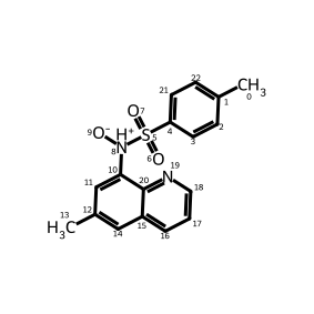 Cc1ccc(S(=O)(=O)[NH+]([O-])c2cc(C)cc3cccnc23)cc1